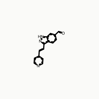 O=Cc1ccc2c(/C=C/c3ccncc3)n[nH]c2c1